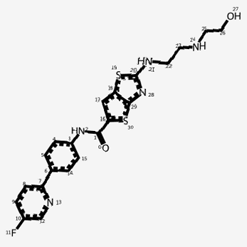 O=C(Nc1ccc(-c2ccc(F)cn2)cc1)c1cc2sc(NCCNCCO)nc2s1